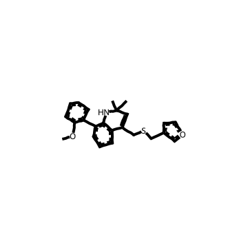 COc1ccccc1-c1cccc2c1NC(C)(C)C=C2CSCc1ccoc1